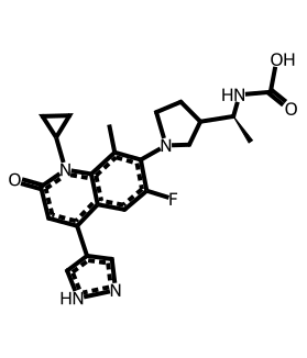 Cc1c(N2CCC([C@H](C)NC(=O)O)C2)c(F)cc2c(-c3cn[nH]c3)cc(=O)n(C3CC3)c12